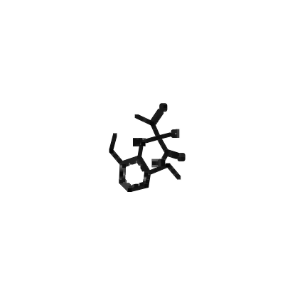 CCc1cccc(CC)c1NC(Cl)(C(C)=O)C(=O)O